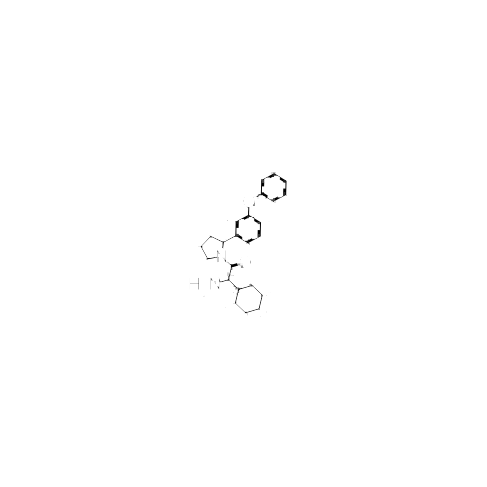 NC(C(=O)N1CCCC1c1cccc(Oc2ccccc2)c1)C1CCCCC1